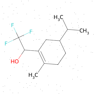 CC1=C(C(O)C(F)(F)F)CC(C(C)C)CC1